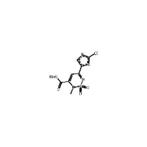 COC(=O)C1=CC(c2cnc(Cl)s2)=NS(=O)(=O)N1C